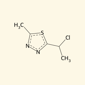 Cc1nnc(C(C)Cl)s1